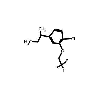 CCC(C)c1ccc(Cl)c(OCC(F)(F)F)c1